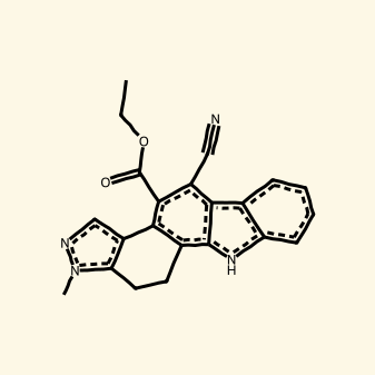 CCOC(=O)c1c2c(c3[nH]c4ccccc4c3c1C#N)CCc1c-2cnn1C